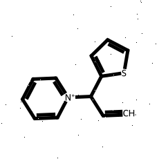 [CH]=CC(c1cccs1)[n+]1ccccc1